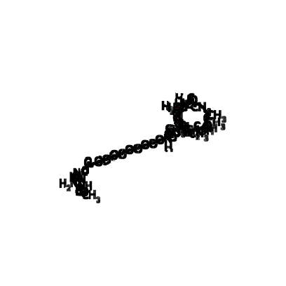 COc1cccc2cc(-c3nc([C@H]4CC[C@H](C(=O)CCCOCCOCCOCCOCCOCCOCCOCCOCCOCCNC(=O)O[C@@H]5CC[C@@H](C[C@@H](N)[C@@H]6CC[C@H](C)/C=C(\C)[C@@H](O)[C@@H](O)C(=O)[C@H](C)C[C@H](C)/C=C/C=C/C=C(\C)[C@@H](OC)C[C@@H]7CC[C@@H](C)[C@@](O)(O7)C(=O)C(=O)N7CCCC[C@H]7C(=O)O6)C[C@H]5OC)CC4)n4ncnc(N)c34)[nH]c12